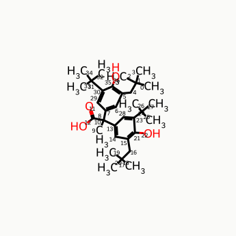 CC(C)(C)Cc1cc(C(C)(C(=O)O)c2cc(CC(C)(C)C)c(O)c(C(C)(C)C)c2)cc(C(C)(C)C)c1O